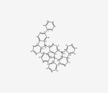 c1ccc(-c2ccc3c4ccccc4n(-c4ccc5c(c4)C(c4ccccc4)(c4ccccc4)c4cccc6c7ccccc7n-5c46)c3c2)cc1